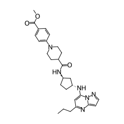 CCCc1cc(N[C@@H]2CC[C@@H](NC(=O)C3CCN(c4ccc(C(=O)OC)cc4)CC3)C2)n2nccc2n1